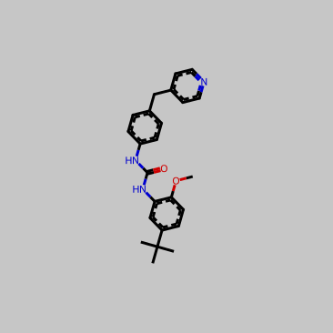 COc1ccc(C(C)(C)C)cc1NC(=O)Nc1ccc(Cc2ccncc2)cc1